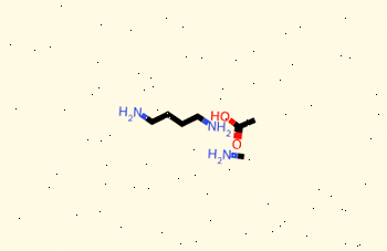 CC(=O)O.CN.NCCCCN